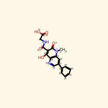 Cn1c(=O)c(C(=O)NCC(=O)O)c(O)c2ncc(-c3ccccc3)cc21